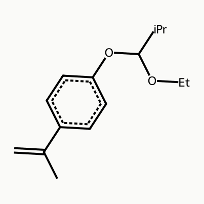 C=C(C)c1ccc(OC(OCC)C(C)C)cc1